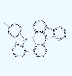 Cc1ccc2c(c1)c1cccc3c1n2B1c2c-3cccc2-n2c3ccccc3c3cccc1c32